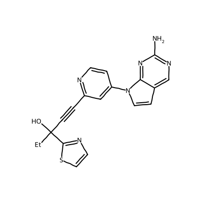 CCC(O)(C#Cc1cc(-n2ccc3cnc(N)nc32)ccn1)c1nccs1